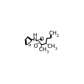 C=CC[C@H](C)[C@@H](C)S(=O)(=O)Nc1cccs1